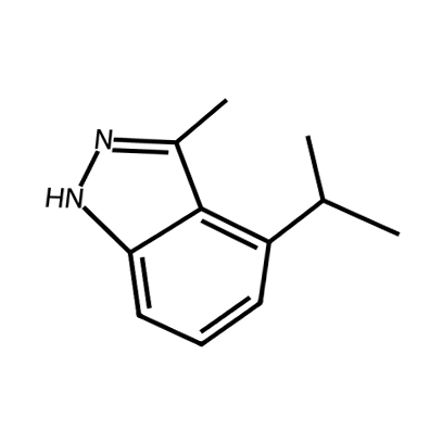 Cc1n[nH]c2cccc(C(C)C)c12